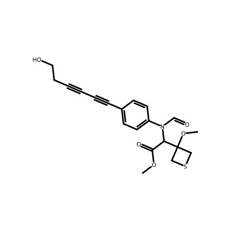 COC(=O)C(N(C=O)c1ccc(C#CC#CCCO)cc1)C1(OC)CSC1